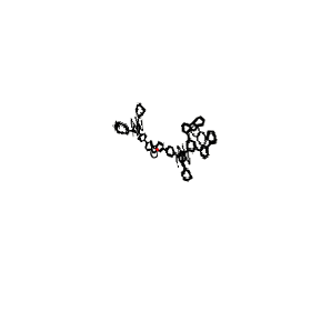 c1ccc(-c2nc(-c3ccccc3)nc(-c3ccc(-c4ccc5oc6cc(-c7ccc(-c8nc(-c9ccccc9)nc(-c9cc(-c%10cccc%11c%10oc%10ccccc%10%11)cc(-c%10cccc%11c%10oc%10ccccc%10%11)c9)n8)cc7)ccc6c5c4)cc3)n2)cc1